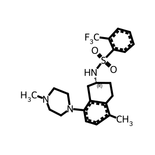 Cc1ccc(N2CCN(C)CC2)c2c1CC[C@@H](NS(=O)(=O)c1ccccc1C(F)(F)F)C2